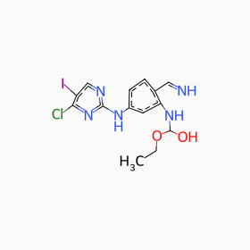 CCOC(O)Nc1cc(Nc2ncc(I)c(Cl)n2)ccc1C=N